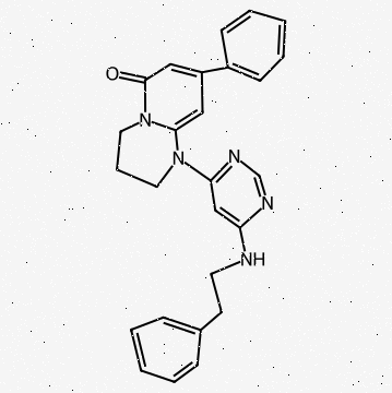 O=c1cc(-c2ccccc2)cc2n1CCCN2c1cc(NCCc2ccccc2)ncn1